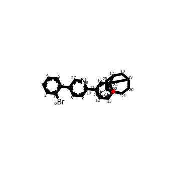 Brc1ccccc1-c1ccc(-c2ccc3c(c2)C2CC4CC3C[C@H](C4)C2)nc1